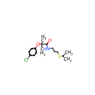 CC(C)SCCCNC(=O)C(C)(C)Oc1ccc(Cl)cc1